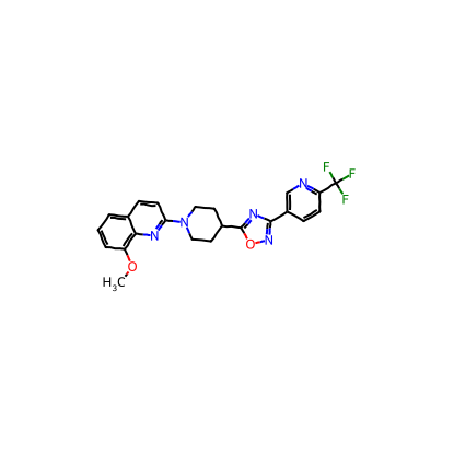 COc1cccc2ccc(N3CCC(c4nc(-c5ccc(C(F)(F)F)nc5)no4)CC3)nc12